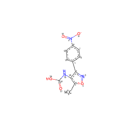 Cc1onc(-c2ccc([N+](=O)[O-])cc2)c1NC(=O)O